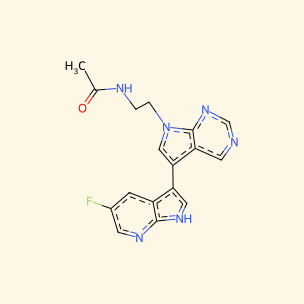 CC(=O)NCCn1cc(-c2c[nH]c3ncc(F)cc23)c2cncnc21